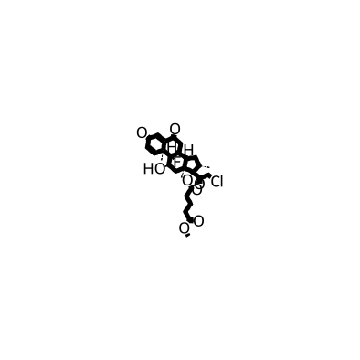 COC(=O)CCCC(=O)O[C@]1(C(=O)CCl)[C@@H](C)C[C@H]2[C@@H]3CC(=O)C4=CC(=O)C=C[C@]4(C)[C@@]3(F)[C@@H](O)C[C@@]21C